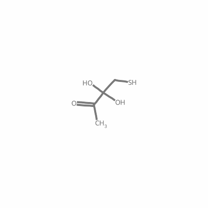 CC(=O)C(O)(O)CS